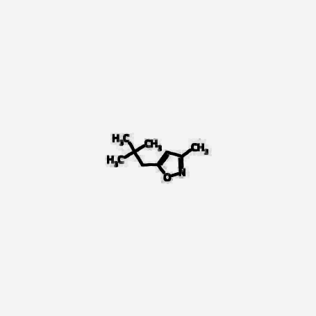 Cc1cc(CC(C)(C)C)on1